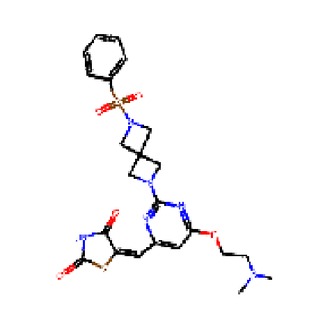 CN(C)CCOc1cc(C=C2SC(=O)NC2=O)nc(N2CC3(C2)CN(S(=O)(=O)c2ccccc2)C3)n1